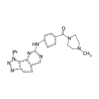 CC(C)n1nnc2ccc3cnc(Nc4ccc(C(=O)N5CCN(C)CC5)cc4)nc3c21